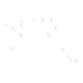 Cc1cc(F)c2c(c1)nc(Nc1ccc(-c3cn([C@H]4CC[C@H](N5CCN(C)CC5)CC4)c4ncnc(N)c34)cc1)n2C